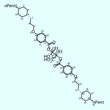 CCCCC[C@H]1CC[C@H](CCCOc2ccc(C(=O)O[C@@](CC)(C(=O)O)[C@@](CC)(OC(=O)c3ccc(OCCC[C@H]4CC[C@H](CCCCC)CC4)cc3)C(=O)O)cc2)CC1